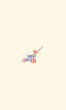 CCCCCCOC(=O)c1ccc2c(=O)c3c(O)cc(N4CCOCC4)cc3[nH]c2c1